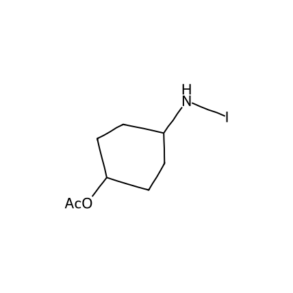 CC(=O)OC1CCC(NI)CC1